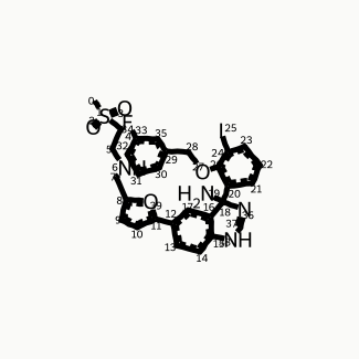 CS(=O)(=O)CCNCc1ccc(-c2ccc3c(c2)C(N)(c2cccc(I)c2OCc2cccc(F)c2)N=CN3)o1